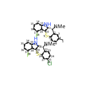 CNCc1cc(C)ccc1Sc1c[nH]c2cccc(F)c12.CNCc1ccc(Cl)cc1Sc1c[nH]c2cccc(F)c12